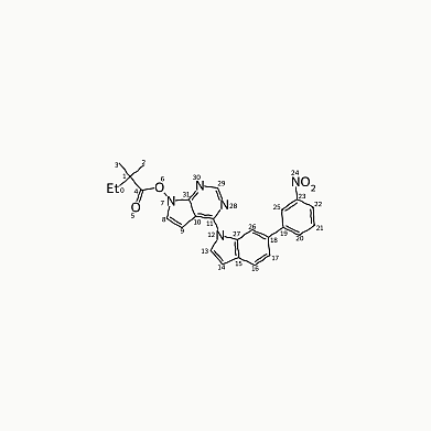 CCC(C)(C)C(=O)On1ccc2c(-n3ccc4ccc(-c5cccc([N+](=O)[O-])c5)cc43)ncnc21